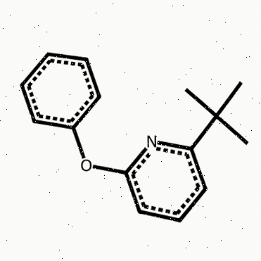 CC(C)(C)c1cccc(Oc2ccccc2)n1